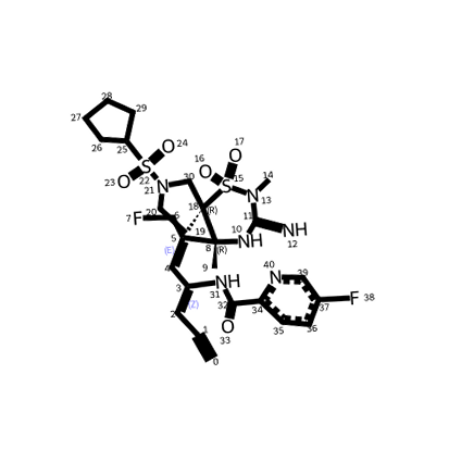 C#C/C=C(/C=C(/CF)[C@@]1(C)NC(=N)N(C)S(=O)(=O)[C@@]12CCN(S(=O)(=O)C1CCCC1)C2)NC(=O)c1ccc(F)cn1